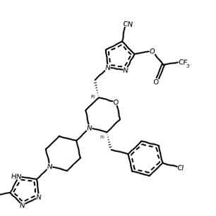 N#Cc1cn(C[C@H]2CN(C3CCN(c4nnc(N)[nH]4)CC3)[C@@H](Cc3ccc(Cl)cc3)CO2)nc1OC(=O)C(F)(F)F